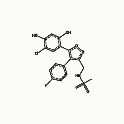 C=S(C)(=O)NCc1noc(-c2cc(Cl)c(O)cc2O)c1-c1ccc(F)cc1